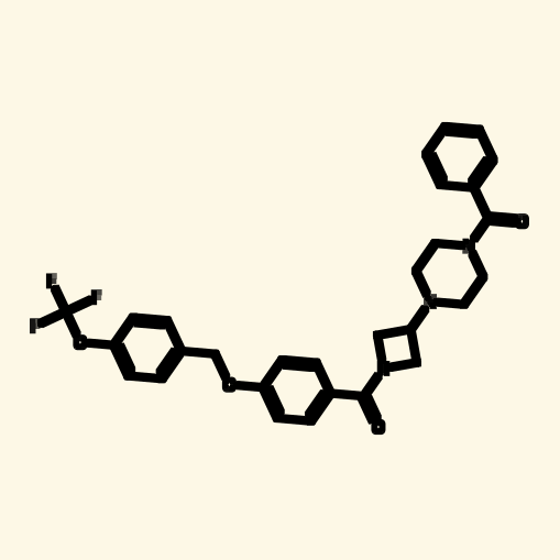 O=C(c1ccccc1)N1CCN(C2CN(C(=O)c3ccc(OCc4ccc(OC(F)(F)F)cc4)cc3)C2)CC1